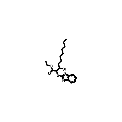 CCCCCCCCC(Br)C(Sc1nc2ccccc2s1)C(=O)OCC